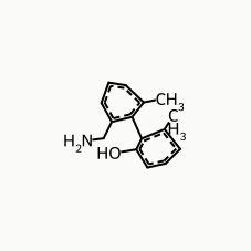 Cc1cccc(O)c1-c1c(C)cccc1CN